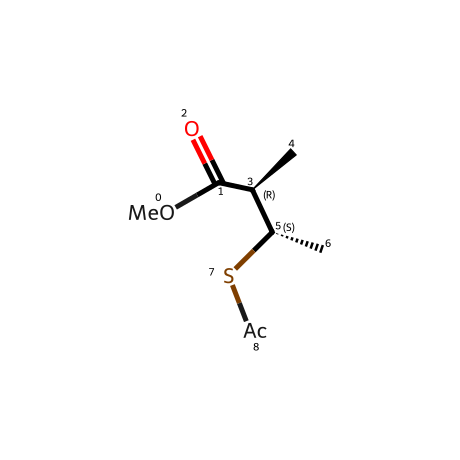 COC(=O)[C@@H](C)[C@H](C)SC(C)=O